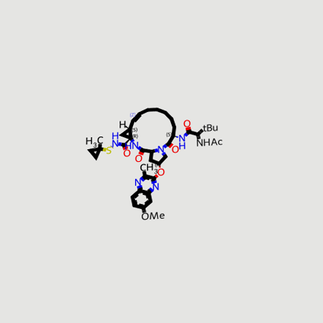 COc1ccc2nc(C)c(O[C@@H]3CC4C(=O)N[C@]5(C(=O)NSC6(C)CC6)C[C@H]5/C=C\CCCCC[C@H](NC(=O)C(NC(C)=O)C(C)(C)C)C(=O)N4C3)nc2c1